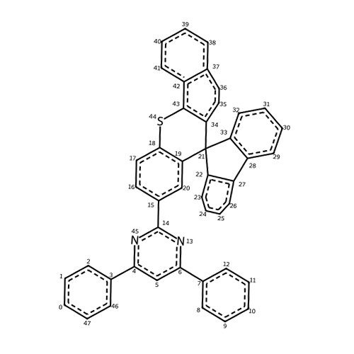 c1ccc(-c2cc(-c3ccccc3)nc(-c3ccc4c(c3)C3(c5ccccc5-c5ccccc53)c3ccc5ccccc5c3S4)n2)cc1